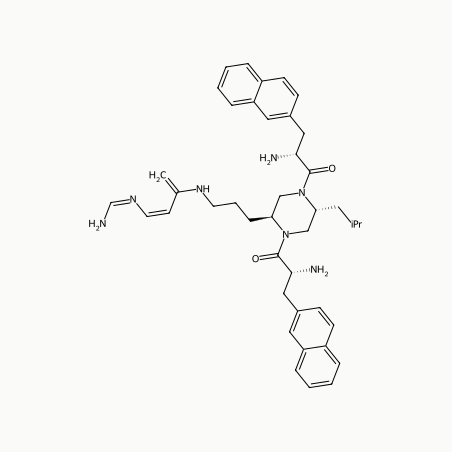 C=C(/C=C\N=C/N)NCCC[C@H]1CN(C(=O)[C@H](N)Cc2ccc3ccccc3c2)[C@H](CC(C)C)CN1C(=O)[C@H](N)Cc1ccc2ccccc2c1